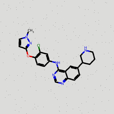 Cn1ccc(Oc2ccc(Nc3ncnc4ccc(C5CCCNC5)cc34)cc2Cl)n1